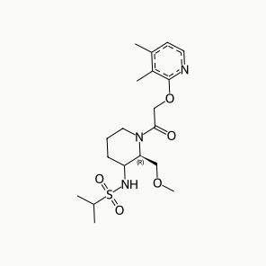 COC[C@H]1C(NS(=O)(=O)C(C)C)CCCN1C(=O)COc1nccc(C)c1C